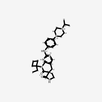 CCC1(N2C(=O)[C@]3(CCNC3=O)Cc3cnc(Nc4ccc(N5CCN(C(C)C)CC5)cc4)nc32)CCC1